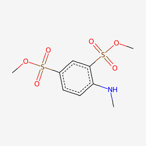 CNc1ccc(S(=O)(=O)OC)cc1S(=O)(=O)OC